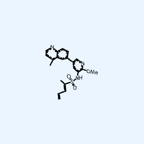 C=C/C=C(\C)S(=O)(=O)Nc1cc(-c2ccc3nccc(C)c3c2)cnc1OC